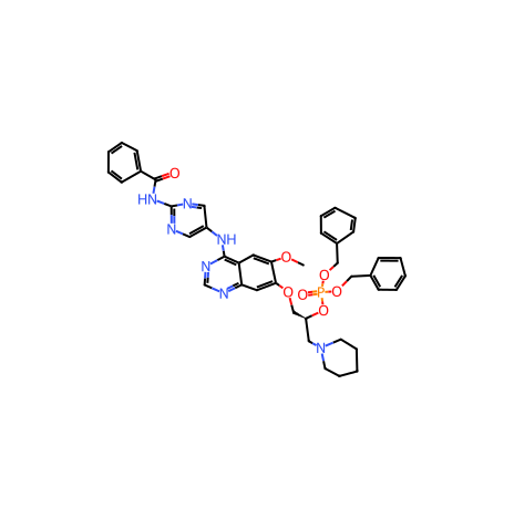 COc1cc2c(Nc3cnc(NC(=O)c4ccccc4)nc3)ncnc2cc1OC[C@H](CN1CCCCC1)OP(=O)(OCc1ccccc1)OCc1ccccc1